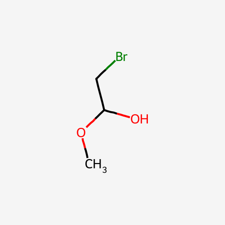 COC(O)CBr